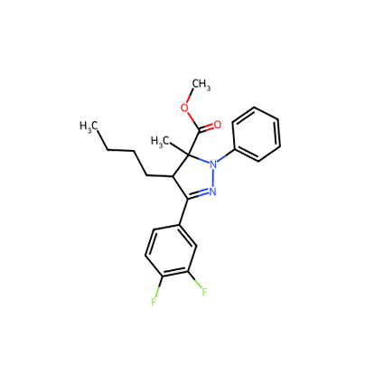 CCCCC1C(c2ccc(F)c(F)c2)=NN(c2ccccc2)C1(C)C(=O)OC